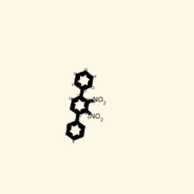 O=[N+]([O-])c1c(-c2ccccc2)ccc(-c2ccccc2)c1[N+](=O)[O-]